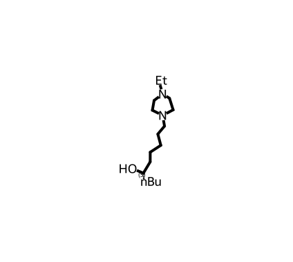 CCCC[C@H](O)CCCCCN1CCN(CC)CC1